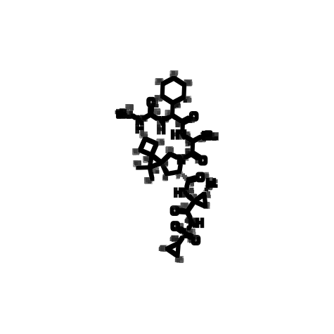 CC[C@@H]1C[C@]1(NC(=O)[C@@H]1C[C@@]2(CN1C(=O)C(NC(=O)[C@@H](NC(=O)NC(C)(C)C)C1CCCCC1)C(C)(C)C)C(C)(C)C21CCC1)C(=O)NS(=O)(=O)C1CC1